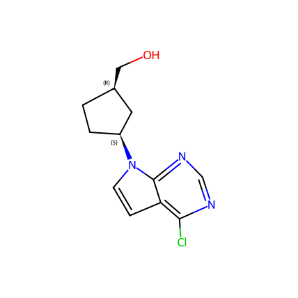 OC[C@@H]1CC[C@H](n2ccc3c(Cl)ncnc32)C1